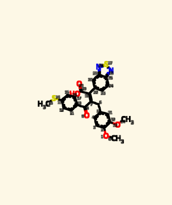 COc1ccc(CC(C(=O)c2ccc(SC)cc2)=C(C(=O)O)c2ccc3nsnc3c2)cc1OC